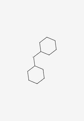 [CH](C1CCCCC1)C1CCCCC1